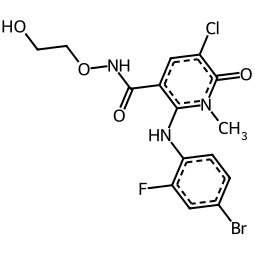 Cn1c(Nc2ccc(Br)cc2F)c(C(=O)NOCCO)cc(Cl)c1=O